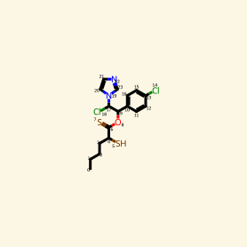 CCCCC(S)C(=S)OC(c1ccc(Cl)cc1)C(Cl)n1ccnc1